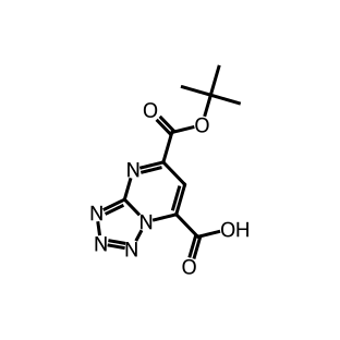 CC(C)(C)OC(=O)c1cc(C(=O)O)n2nnnc2n1